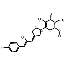 COc1oc([C@H]2C/C(=C/C(C)=C/c3ccc(Br)cc3)CO2)c(C)c(=O)c1C